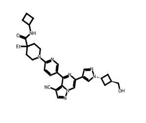 CCC1(C(=O)NC2CCC2)CCN(c2ccc(-c3nc(-c4cnn([C@H]5C[C@H](CO)C5)c4)cn4ncc(C#N)c34)cn2)CC1